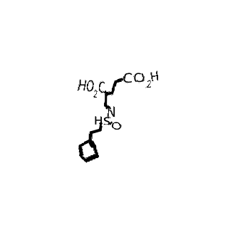 O=C(O)CCC(C/N=[SH](=O)\CCCc1ccccc1)C(=O)O